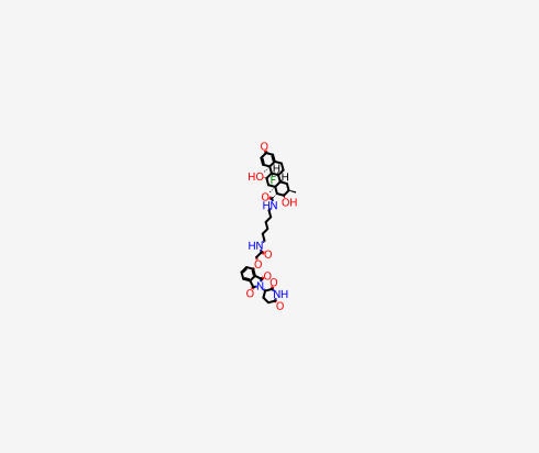 C[C@@H]1C[C@H]2[C@@H]3CCC4=CC(=O)C=C[C@]4(C)[C@@]3(F)[C@@H](O)C[C@]2(C)[C@@H](C(=O)NCCCCCCNC(=O)COc2cccc3c2C(=O)N(C2CCC(=O)NC2=O)C3=O)[C@@H]1O